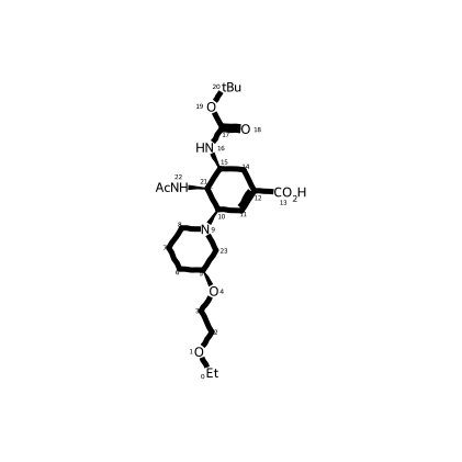 CCOCCO[C@H]1CCCN([C@@H]2C=C(C(=O)O)C[C@H](NC(=O)OC(C)(C)C)[C@@H]2NC(C)=O)C1